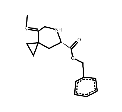 C/N=C1\CN[C@H](C(=O)OCc2ccccc2)CC12CC2